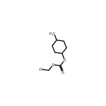 CC1CCC(OC(=O)OCCl)CC1